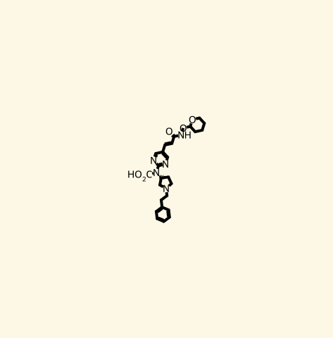 O=C(C=Cc1cnc(N(C(=O)O)[C@@H]2CCN(CCc3ccccc3)C2)nc1)NOC1CCCCO1